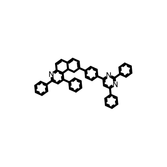 C1=Cc2nc(-c3ccccc3)cc(-c3ccccc3)c2C2CC(c3ccc(-c4cc(-c5ccccc5)nc(-c5ccccc5)n4)cc3)=CC=C12